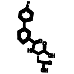 O=C(O)C[C@H](NC(=O)c1cccc(-c2ccc(F)cc2)c1)C(=O)O